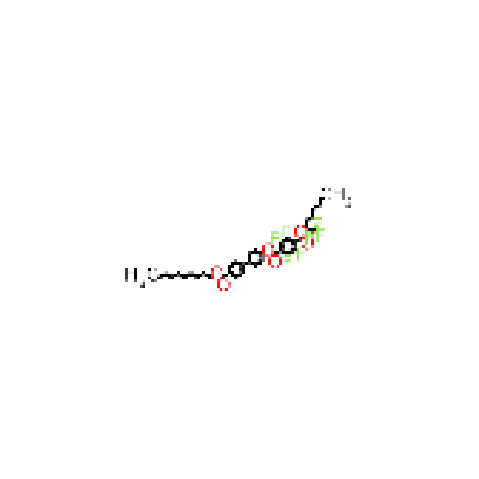 CCCCCCCCCCOC(=O)c1ccc(-c2ccc(OC(=O)c3c(F)c(F)c(C(=O)OC(CCCCCC)C(F)(F)F)c(F)c3F)cc2)cc1